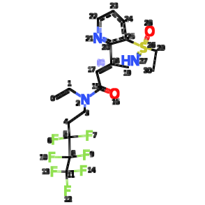 C=CN(CCC(F)(F)C(F)(F)C(F)(F)F)C(=O)/C=C(\C)c1ncccc1S(=N)(=O)CC